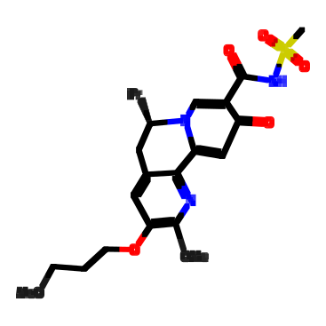 COCCCOc1cc2c(nc1OC)-c1cc(=O)c(C(=O)NS(C)(=O)=O)cn1[C@H](C(C)C)C2